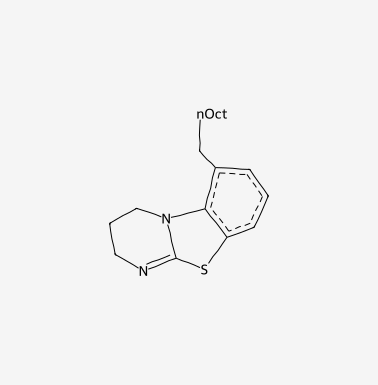 CCCCCCCCCc1cccc2c1N1CCCN=C1S2